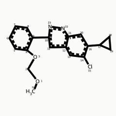 COCOc1ccccc1-c1cc2cc(Cl)c(C3CC3)cc2nn1